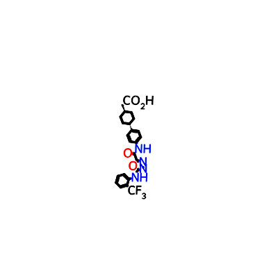 O=C(O)C[C@H]1CC[C@H](c2ccc(NC(=O)c3nnc(Nc4ccccc4C(F)(F)F)o3)cc2)CC1